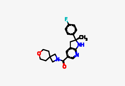 C[C@]1(c2ccc(F)cc2)Cc2cc(C(=O)N3CC4(CCOCC4)C3)cnc2N1